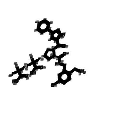 NCc1ccc(Cl)cc1CNC(=O)[C@@H]1CCCN1C(=O)c1cc(-c2ccncc2)c[nH]1.O=C(O)C(F)(F)F.O=C(O)C(F)(F)F